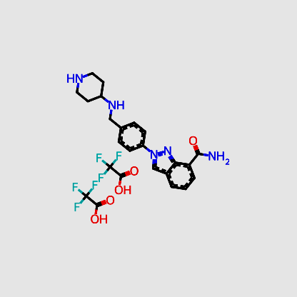 NC(=O)c1cccc2cn(-c3ccc(CNC4CCNCC4)cc3)nc12.O=C(O)C(F)(F)F.O=C(O)C(F)(F)F